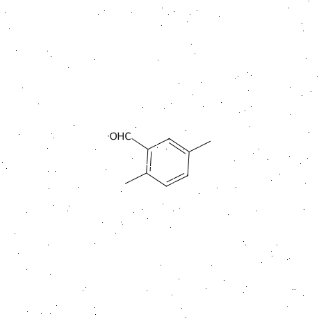 Cc1ccc(C)c([C]=O)c1